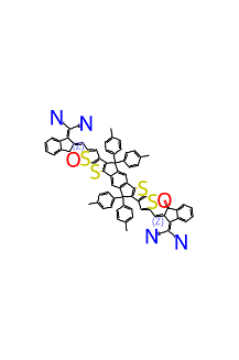 Cc1ccc(C2(c3ccc(C)cc3)c3cc4c(cc3-c3sc5sc(/C=C6\C(=O)c7ccccc7C6=C(C#N)C#N)cc5c32)C(c2ccc(C)cc2)(c2ccc(C)cc2)c2c-4sc3sc(/C=C4\C(=O)c5ccccc5C4=C(C#N)C#N)cc23)cc1